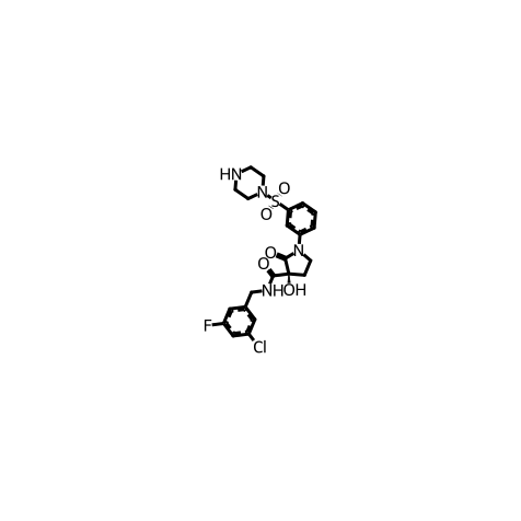 O=C(NCc1cc(F)cc(Cl)c1)[C@@]1(O)CCN(c2cccc(S(=O)(=O)N3CCNCC3)c2)C1=O